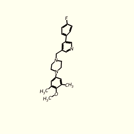 COc1c(C)cc(N2CCN(Cc3cncc(-c4ccc(F)cc4)c3)CC2)cc1C